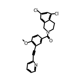 COc1ccc(C(=O)N2CCc3c(Cl)cc(Cl)cc3C2)cc1C#Cc1ccccn1